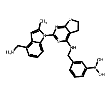 Cc1cc2c(CN)cccc2n1-c1nc(NCc2cccc(B(O)O)c2)c2c(n1)OCC2